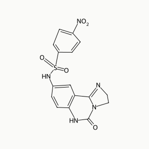 O=C1Nc2ccc(NS(=O)(=O)c3ccc([N+](=O)[O-])cc3)cc2C2=NCCN12